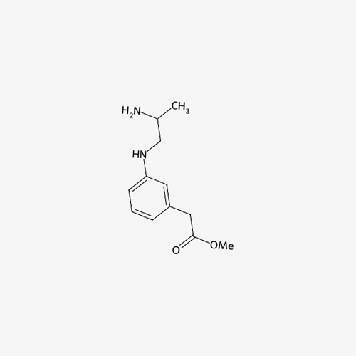 COC(=O)Cc1cccc(NCC(C)N)c1